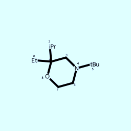 CCC1(C(C)C)CN(C(C)(C)C)CCO1